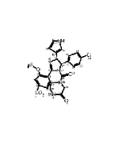 CC(C)Oc1cc([N+](=O)[O-])ccc1C1=N[C@@H](c2cc[nH]c2)[C@@H](c2ccc(Cl)cc2)N1C(=O)N1CCNC(=O)C1